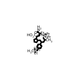 CCC[N+](CCC)(CCC)CC(C)CC(CC1CCCC1C(CC(CC)C(N)=O)C(=O)O)c1ccc(C[N+](C)(C)CC)cc1